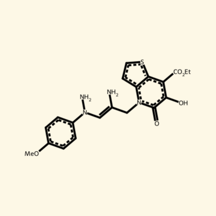 CCOC(=O)c1c(O)c(=O)n(C/C(N)=C/N(N)c2ccc(OC)cc2)c2ccsc12